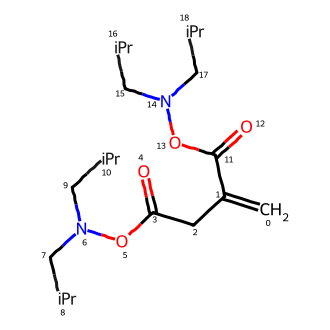 C=C(CC(=O)ON(CC(C)C)CC(C)C)C(=O)ON(CC(C)C)CC(C)C